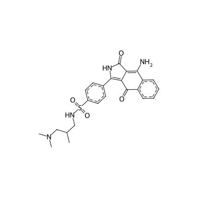 CC(CNS(=O)(=O)c1ccc(C2=C3C(=O)c4ccccc4C(N)=C3C(=O)N2)cc1)CN(C)C